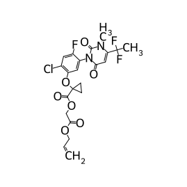 C=CCOC(=O)COC(=O)C1(Oc2cc(-n3c(=O)cc(C(C)(F)F)n(C)c3=O)c(F)cc2Cl)CC1